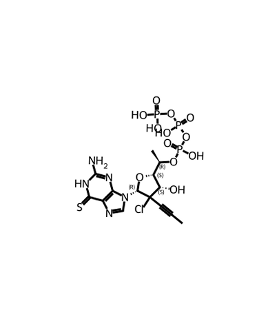 CC#CC1(Cl)[C@@H](O)[C@@H]([C@@H](C)OP(=O)(O)OP(=O)(O)OP(=O)(O)O)O[C@H]1n1cnc2c(=S)[nH]c(N)nc21